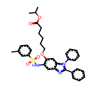 Cc1cccc(S(=O)(=O)Nc2cc3nc(-c4ccccc4)n(-c4ccccc4)c3cc2OCCCCCC(=O)OC(C)C)c1